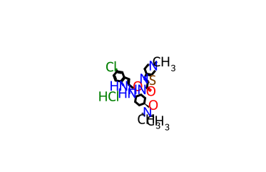 CCN(CC)C(=O)[C@H]1CC[C@H](NC(=O)c2cc3cc(Cl)ccc3[nH]2)[C@H](NC(=O)c2nc3c(s2)CN(C)CC3)C1.Cl